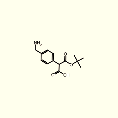 CC(C)(C)OC(=O)C(C(=O)O)c1ccc(CN)cc1